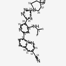 CC(C)Nc1cc(-c2ccc3cc(C#N)cnn23)ncc1-c1nnc(N2CCC(F)(F)CC2)s1